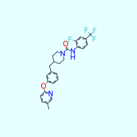 Cc1ccc(Oc2cccc(CC3CCN(C(=O)Nc4ccc(C(F)(F)F)cc4F)CC3)c2)nc1